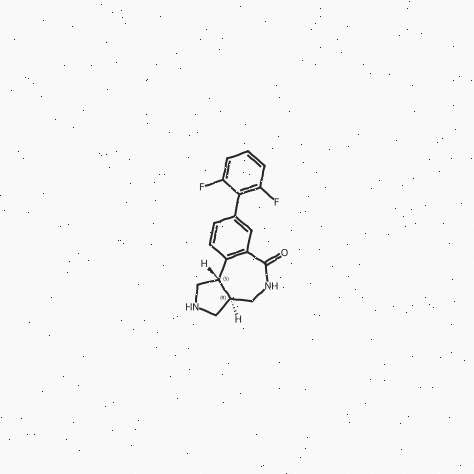 O=C1NC[C@H]2CNC[C@@H]2c2ccc(-c3c(F)cccc3F)cc21